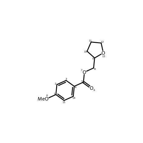 COc1ccc(C(=O)OCC2CCCO2)cc1